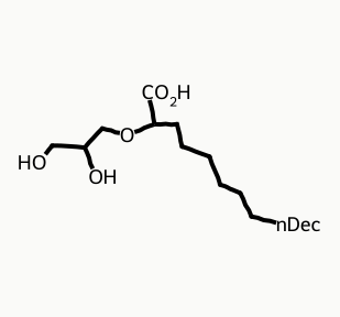 CCCCCCCCCCCCCCCCC(OCC(O)CO)C(=O)O